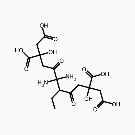 CCC(C(=O)CC(O)(CC(=O)O)C(=O)O)C(N)(N)C(=O)CC(O)(CC(=O)O)C(=O)O